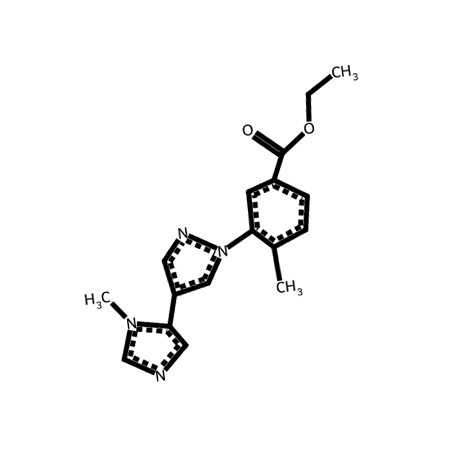 CCOC(=O)c1ccc(C)c(-n2cc(-c3cncn3C)cn2)c1